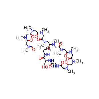 CCNC(=O)C(CO)NC(=O)CNC(=O)CN(C)C(=O)CN(C)C(=O)CN(C)C(=O)CN(C)C(=O)CN(C)C(=O)CN(C)C(=O)CN(C)C(=O)CN(C)C(=O)CN(C)C(=O)CN(C)C=O